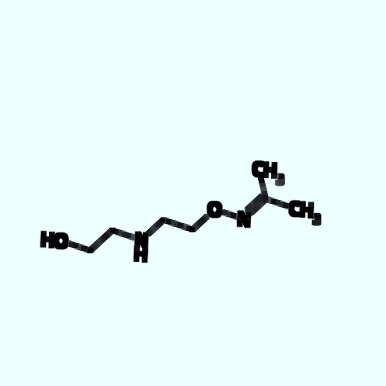 CC(C)=NOCCNCCO